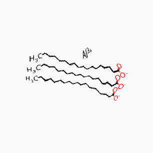 CCCCCCCCCCCCCCCCCC(=O)[O-].CCCCCCCCCCCCCCCCCC(=O)[O-].CCCCCCCCCCCCCCCCCC(=O)[O-].[Al+3]